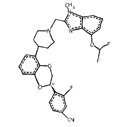 Cn1c(CN2CCC(c3cccc4c3OC[C@@H](c3ccc(C#N)cc3F)O4)CC2)nc2c(OC(F)F)cccc21